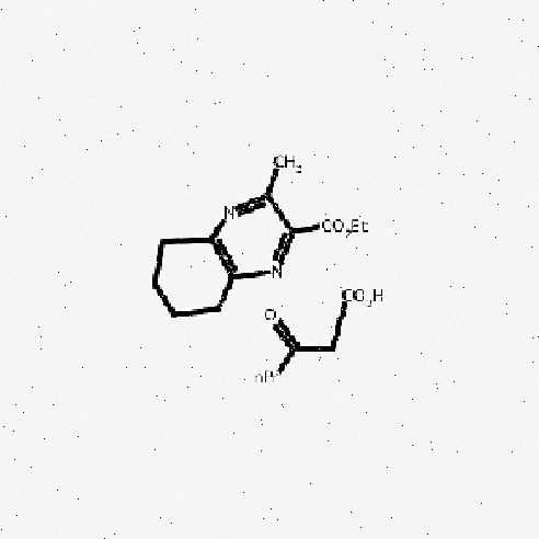 CCCC(=O)CC(=O)O.CCOC(=O)c1nc2c(nc1C)CCCC2